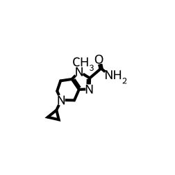 Cn1c(C(N)=O)nc2c1CCN(C1CC1)C2